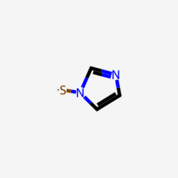 [S]n1ccnc1